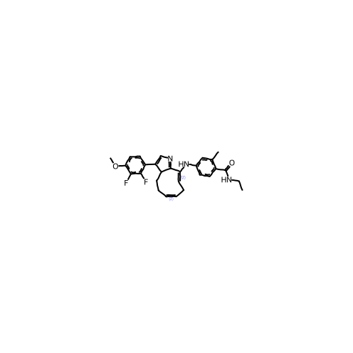 CCNC(=O)c1ccc(N/C2=C\C/C=C\CCC3C(c4ccc(OC)c(F)c4F)=CN=C23)cc1C